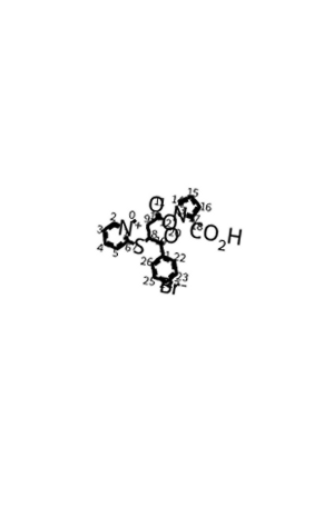 C[n+]1ccccc1SC(CC(=O)On1cccc1C(=O)O)C(=O)c1ccccc1.[Br-]